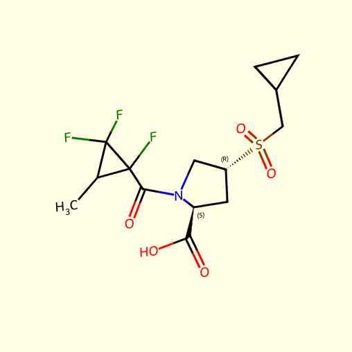 CC1C(F)(F)C1(F)C(=O)N1C[C@H](S(=O)(=O)CC2CC2)C[C@H]1C(=O)O